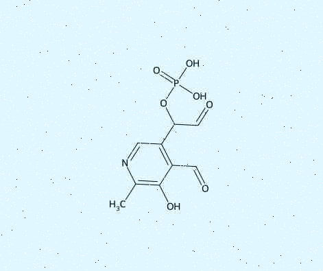 Cc1ncc(C(C=O)OP(=O)(O)O)c(C=O)c1O